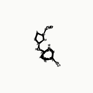 O=CN1CC[C@H](Oc2ccc(C(F)(F)F)cn2)C1